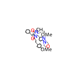 COCCN(C)C(=O)[C@H](Cc1ccccc1)N(Cc1ccc(N2CCOCC2)nc1)C(=O)C=Cc1ccc(OC)cc1